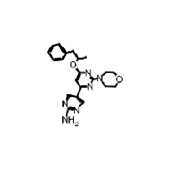 CC(Cc1ccccc1)Oc1cc(-c2cnc(N)nc2)nc(N2CCOCC2)n1